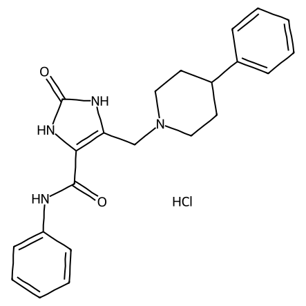 Cl.O=C(Nc1ccccc1)c1[nH]c(=O)[nH]c1CN1CCC(c2ccccc2)CC1